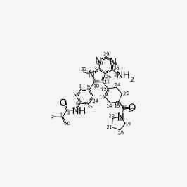 C=C(C)C(=O)Nc1ccc(-c2c(C3=CC[C@H](C(=O)N4CCCC4)CC3)c3c(N)ncnc3n2C)cc1